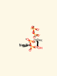 CCCCCCCCCCCCO.O=[PH]([O-])O[PH](=O)[O-].O=[PH]([O-])O[PH](=O)[O-].[Na+].[Na+].[Na+].[Na+]